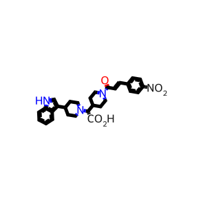 O=C(O)C(C1CCN(C(=O)C=Cc2ccc([N+](=O)[O-])cc2)CC1)N1CCC(c2c[nH]c3ccccc23)CC1